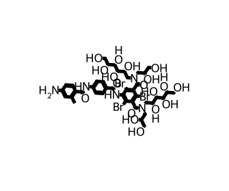 Cc1cc(N)ccc1C(=O)Nc1ccc(C(=O)Nc2c(Br)c(C(=O)N(CC(O)CO)CC(O)C(O)C(O)C(O)CO)c(Br)c(C(=O)N(CC(O)CO)CC(O)C(O)C(O)C(O)CO)c2Br)cc1